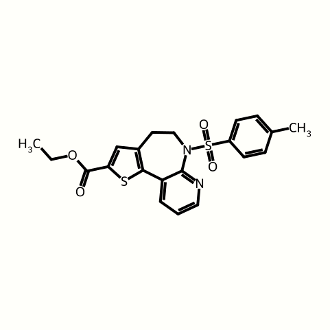 CCOC(=O)c1cc2c(s1)-c1cccnc1N(S(=O)(=O)c1ccc(C)cc1)CC2